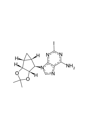 CC1(C)O[C@@H]2[C@@H]3C[C@@H]3[C@@H](n3cnc4c(N)nc(I)nc43)[C@@H]2O1